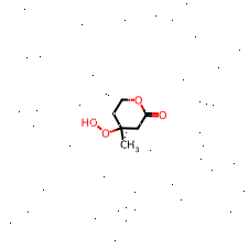 CC1(OO)CCOC(=O)C1